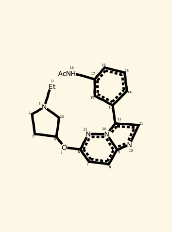 CCN1CCC(Oc2ccc3ncc(-c4cccc(NC(C)=O)c4)n3n2)C1